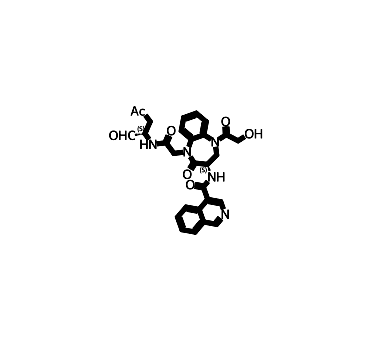 CC(=O)C[C@@H](C=O)NC(=O)CN1C(=O)[C@@H](NC(=O)c2cncc3ccccc23)CN(C(=O)CO)c2ccccc21